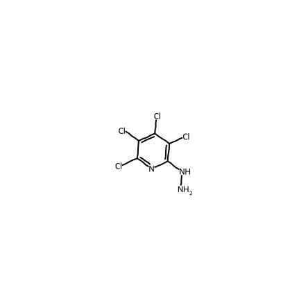 NNc1nc(Cl)c(Cl)c(Cl)c1Cl